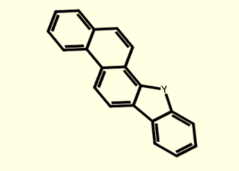 c1ccc2[c](c1)[Y][c]1c-2ccc2c1ccc1ccccc12